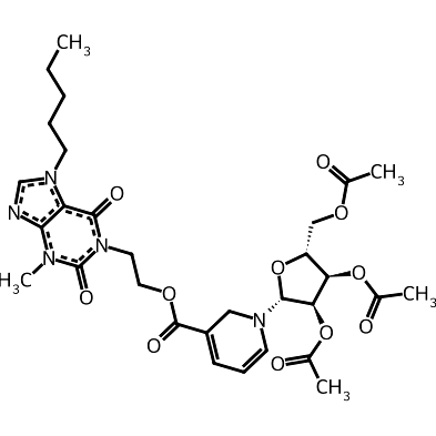 CCCCCn1cnc2c1c(=O)n(CCOC(=O)C1=CC=CN([C@@H]3O[C@H](COC(C)=O)[C@@H](OC(C)=O)[C@H]3OC(C)=O)C1)c(=O)n2C